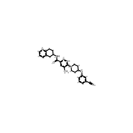 Cc1cc(C(=O)NC2CCc3ncccc3C2)nnc1N1CCC(Oc2cccc(C#N)c2)CC1